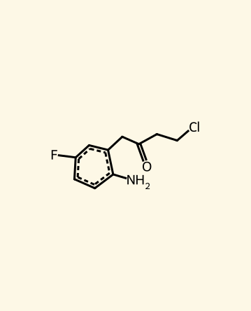 Nc1ccc(F)cc1CC(=O)CCCl